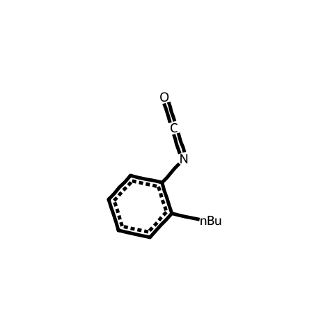 CCCCc1ccccc1N=C=O